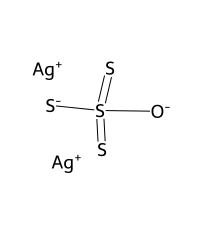 [Ag+].[Ag+].[O-]S(=S)(=S)[S-]